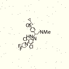 CNCCC(c1ccc([S+]([O-])CC2CC2)cc1)c1nc2cc(Cl)c(N3CCC(F)(F)CC3)c(Cl)c2[nH]1